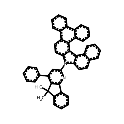 CC1(C)c2ccccc2-c2nc(-n3c4ccc5ccccc5c4c4c5c6ccccc6c6ccccc6c5ccc43)cc(-c3ccccc3)c21